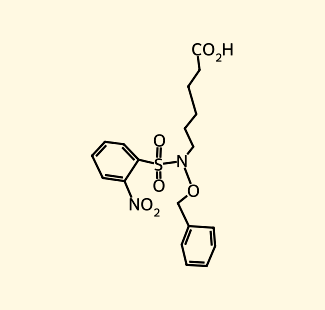 O=C(O)CCCCCN(OCc1ccccc1)S(=O)(=O)c1ccccc1[N+](=O)[O-]